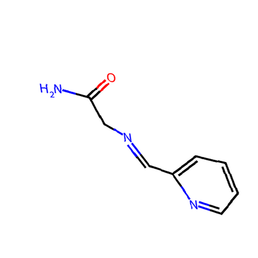 NC(=O)CN=Cc1ccccn1